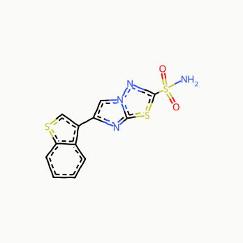 NS(=O)(=O)c1nn2cc(-c3csc4ccccc34)nc2s1